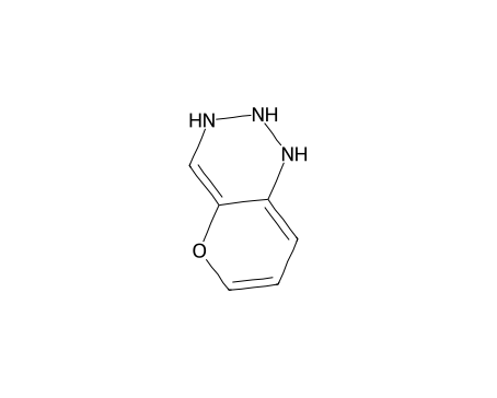 c1coc2c[nH][nH][nH]c-2c1